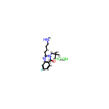 CNCCCCc1nc2cc(F)ccc2c(=O)n1CC(C)(C)C.Cl.Cl